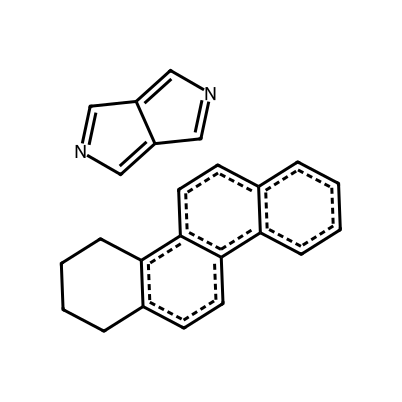 C1=NC=C2C=NC=C12.c1ccc2c(c1)ccc1c3c(ccc12)CCCC3